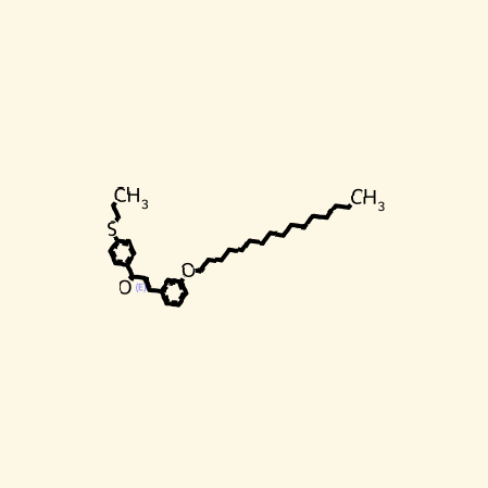 CCCCCCCCCCCCCCCCOc1cccc(/C=C/C(=O)c2ccc(SCCC)cc2)c1